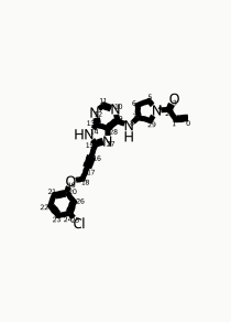 C=CC(=O)N1CCC(Nc2ncnc3[nH]c(C#CCOc4cccc(Cl)c4)nc23)C1